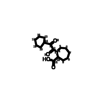 O=C(C(=O)N1CCCCCC1C(=O)O)C1CCCCC1